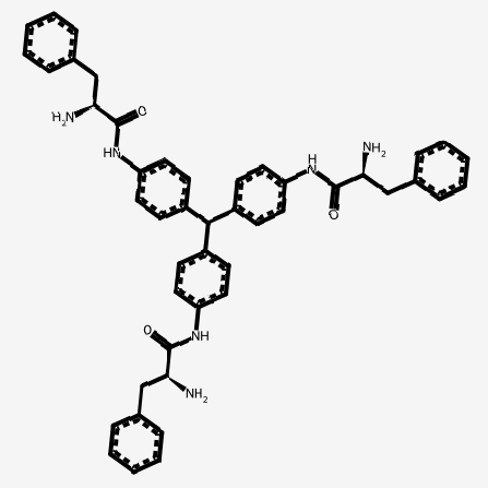 N[C@@H](Cc1ccccc1)C(=O)Nc1ccc(C(c2ccc(NC(=O)[C@@H](N)Cc3ccccc3)cc2)c2ccc(NC(=O)[C@@H](N)Cc3ccccc3)cc2)cc1